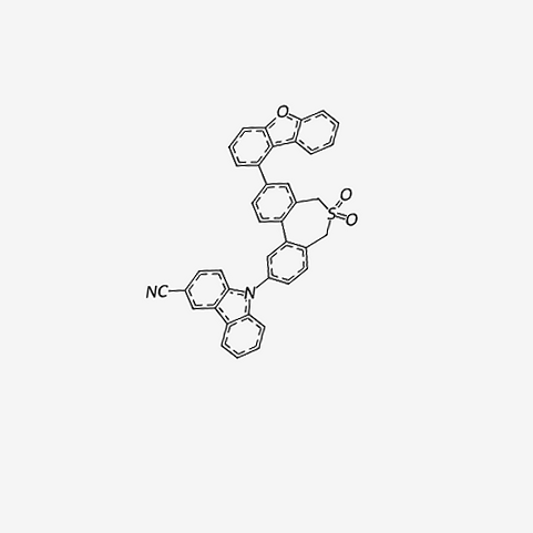 N#Cc1ccc2c(c1)c1ccccc1n2-c1ccc2c(c1)-c1ccc(-c3cccc4oc5ccccc5c34)cc1CS(=O)(=O)C2